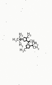 C=C(C)C1CC(C)CN1C(=C)C1CN(C(C)(C)C)CC1C